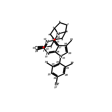 [C-]#[N+]CC1CC2CCC(C1)N2c1nc(C)nc2c1c(C)cn2-c1c(C)cc(Br)cc1C